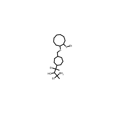 BC(C)(CC)C(O)C(C)(CC)C1CCCC(CSC2CCCCCCCC2SCC)CC1